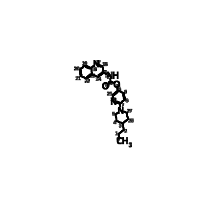 CCCC1CCN(c2ccc(OC(=O)Nc3cnc4ccccc4c3)cn2)CC1